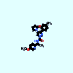 COc1ccc(C(C)NC(=O)N2C[C@H](N3CCCC3=O)C(c3ccc(C)cc3)=N2)nc1